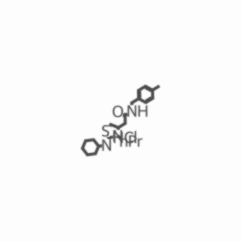 CCCN1/C(=N/C2CCCCC2)SCC1CC(=O)NCc1ccc(C)cc1.Cl